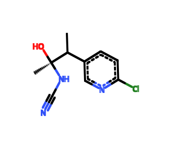 CC(c1ccc(Cl)nc1)[C@](C)(O)NC#N